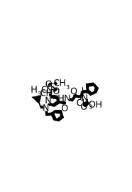 C[C@H]1C[C@@H]1CN(Cc1ccccc1)c1cc(C(=O)NCC(=O)[C@@](C)(Cc2ccccc2)NC(=O)O)cc(N(C)S(C)(=O)=O)n1